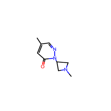 Cc1cnn(C2CN(C)C2)c(=O)c1